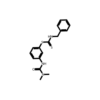 CN(C)C(=O)Nc1cccc(SC(=S)NCc2ccccc2)c1